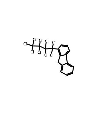 ClC(Cl)(Cl)C(Cl)(Cl)C(Cl)(Cl)C(Cl)(Cl)c1cccc2c1[CH]c1ccccc1-2